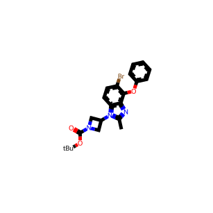 Cc1nc2c(Oc3ccccc3)c(Br)ccc2n1C1CN(C(=O)OC(C)(C)C)C1